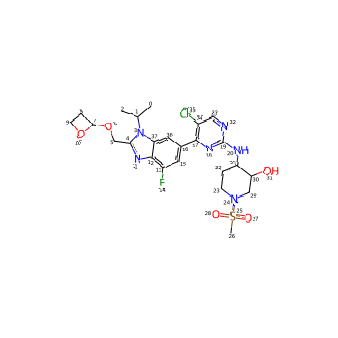 CC(C)n1c(COC2CCO2)nc2c(F)cc(-c3nc(NC4CCN(S(C)(=O)=O)CC4O)ncc3Cl)cc21